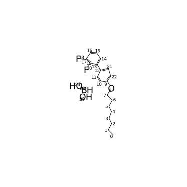 CCCCCCCCOc1ccc(-c2cccc(F)c2F)cc1.OBO